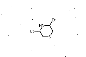 CCC1CSCC(CC)N1